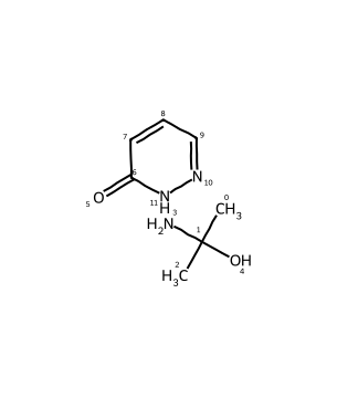 CC(C)(N)O.O=c1cccn[nH]1